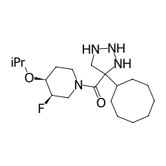 CC(C)O[C@H]1CCN(C(=O)C2(C3CCCCCCC3)CNNN2)C[C@H]1F